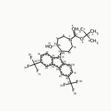 CC(C)(C)OC(=O)N1CC[C@@H](O)[C@H](n2c3ccc(C(F)(F)F)cc3c3cc(C(F)(F)F)cnc32)CC1